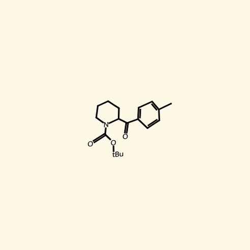 Cc1ccc(C(=O)C2CCCCN2C(=O)OC(C)(C)C)cc1